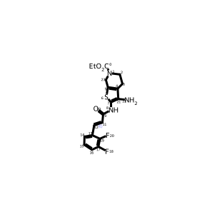 CCOC(=O)N1CCc2c(sc(NC(=O)/C=C/c3cccc(F)c3F)c2N)C1